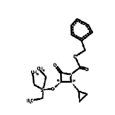 CC[Si](CC)(CC)O[C@@H]1C(=O)N(C(=O)OCc2ccccc2)[C@@H]1C1CC1